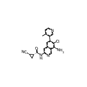 Cc1ccncc1-c1cc2cc(NC(=O)[C@@H]3C[C@H]3C#N)ncc2c(N)c1Cl